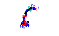 CC(C)(C)n1nc(-c2noc(C3CC3)c2-c2ncc(C3CN(C(=O)OCC(=O)N4CCC(CN5CC6(CC(c7c(F)cc(NC8CCC(=O)NC8=O)cc7F)C6)C5)CC4)C3)cn2)c2c(N)ncnc21